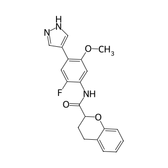 COc1cc(NC(=O)C2CCc3ccccc3O2)c(F)cc1-c1cn[nH]c1